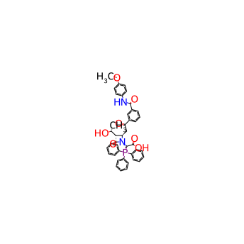 COc1ccc(NC(=O)c2cccc(C(=O)C[C@@H]3[C@@H]([C@@H](C)O)C(=O)N3C(C(=O)O)=P(c3ccccc3)(c3ccccc3)c3ccccc3)c2)cc1